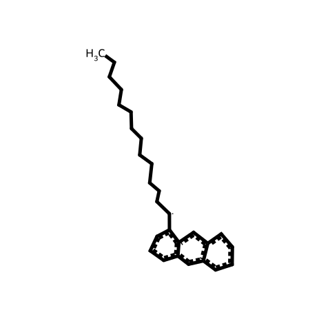 CCCCCCCCCCCCC[CH]c1cccc2cc3ccccc3cc12